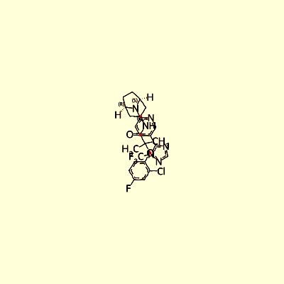 CC(C)(Oc1ccc(F)cc1Cl)C(=O)N[C@H]1C[C@H]2CC[C@@H](C1)N2c1ccc(-c2ncnn2C(F)(F)F)cn1